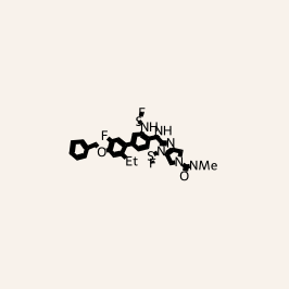 CCc1cc(OCc2ccccc2)c(F)cc1-c1ccc(C(=N)c2nc3c(n2SF)CN(C(=O)NC)C3)c(NSF)c1